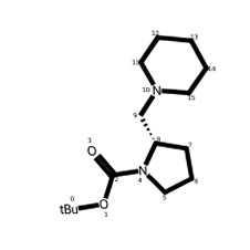 CC(C)(C)OC(=O)N1CCC[C@H]1CN1CCCCC1